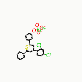 Clc1ccc(-c2cc(-c3ccccc3)[s+]c(-c3ccccc3)c2)c(Cl)c1.[O-][Cl+3]([O-])([O-])[O-]